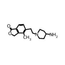 Cc1c(CCN2CCC(N)CC2)ccc2c1COC2=O